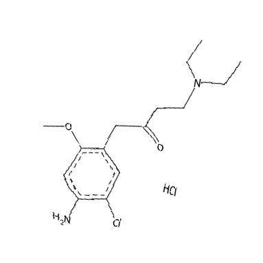 CCN(CC)CCC(=O)Cc1cc(Cl)c(N)cc1OC.Cl